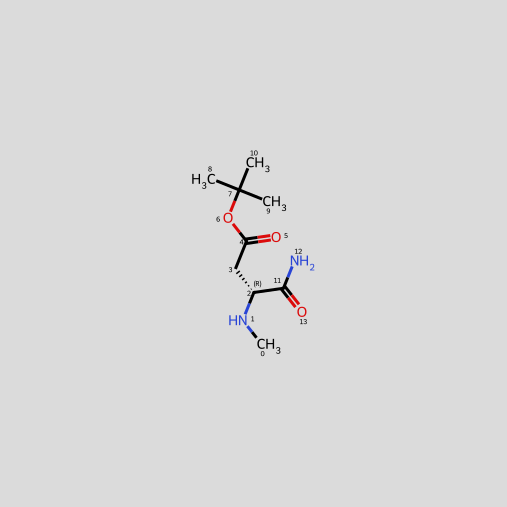 CN[C@H](CC(=O)OC(C)(C)C)C(N)=O